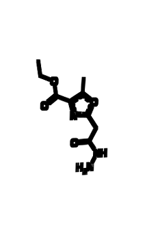 CCOC(=O)c1nc(CC(=O)NN)oc1C